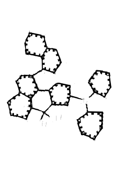 CC1(C)c2cc(N(c3ccccc3)c3ccccc3)ccc2-c2c(-c3cccc4ccccc34)ccc3cccc1c23